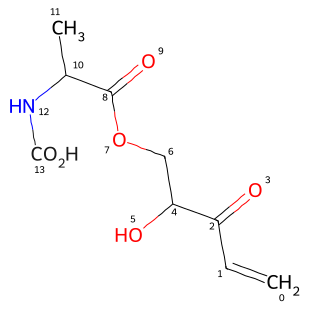 C=CC(=O)C(O)COC(=O)C(C)NC(=O)O